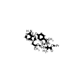 CCCOC(=O)C(C)(C)N[P@](=O)(CO[C@H](C)Cn1cnc2c(N)ncnc21)N[C@H](C)c1ccc(C(F)(F)F)cc1